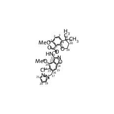 COc1ccc2c(c1S(=O)(=O)Nc1noc3cc(Cn4cccn4)c(Cl)c(OC)c13)OCCC2(C)C